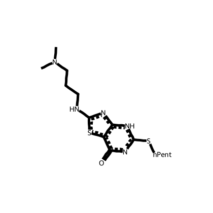 CCCCCSc1nc(=O)c2sc(NCCCN(C)C)nc2[nH]1